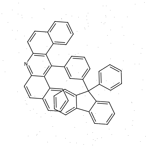 c1ccc(C2(c3cccc(-c4c5c(ccc6ccccc65)nc5ccc6ccccc6c45)c3)c3ccccc3-c3ccccc32)cc1